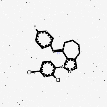 Fc1ccc(/C=C2\CCCCc3cnn(-c4ccc(Cl)cc4Cl)c32)cc1